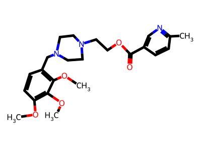 COc1ccc(CN2CCN(CCOC(=O)c3ccc(C)nc3)CC2)c(OC)c1OC